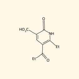 CCC(=O)c1cc(C(=O)O)c(=O)[nH]c1CC